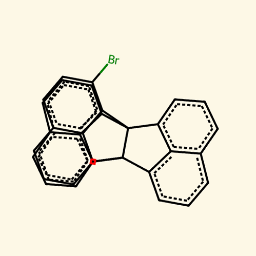 Brc1ccc2cccc3c2c1C12c4cccc5cccc(c45)C31c1cccc3cccc2c13